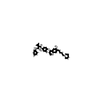 COc1cc2c(Oc3ccc(NC(=O)C4(C(=O)Nc5ccc(F)cc5)CC4)cc3F)ccnc2cc1CCCCN1CCCCC1